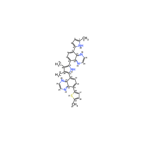 Cc1ccc(-c2ccc(-c3[nH]c(-c4ccc(-c5ccc(C)s5)c5nccnc45)c(C)c3C)c3nccnc23)[nH]1